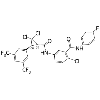 O=C(Nc1ccc(F)cc1)c1cc(NC(=O)[C@@H]2[C@@H](c3cc(C(F)(F)F)cc(C(F)(F)F)c3)C2(Cl)Cl)ccc1Cl